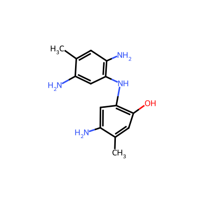 Cc1cc(N)c(Nc2cc(N)c(C)cc2O)cc1N